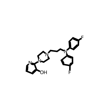 Oc1cccnc1N1CCN(CCCN(c2ccc(F)cc2)c2ccc(F)cc2)CC1